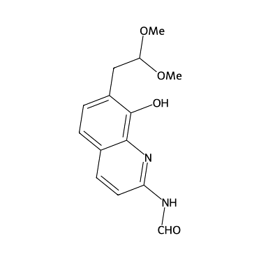 COC(Cc1ccc2ccc(NC=O)nc2c1O)OC